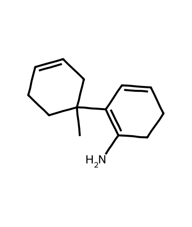 CC1(C2=C(N)CCC=C2)CC=CCC1